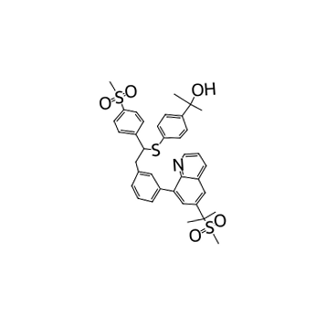 CC(C)(O)c1ccc(SC(Cc2cccc(-c3cc(C(C)(C)S(C)(=O)=O)cc4cccnc34)c2)c2ccc(S(C)(=O)=O)cc2)cc1